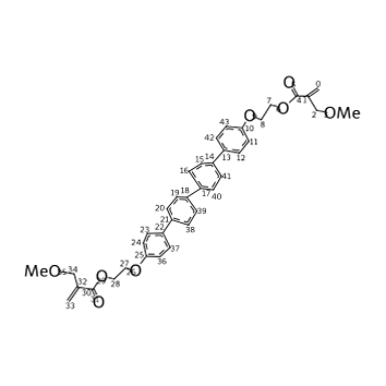 C=C(COC)C(=O)OCCOc1ccc(-c2ccc(-c3ccc(-c4ccc(OCCOC(=O)C(=C)COC)cc4)cc3)cc2)cc1